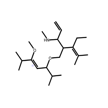 C=CC(NC)C(COC(/C=C(\OC)C(C)C)C(C)C)C(CC)=C(C)C